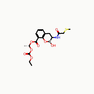 CCOC(=O)O[C@H](C)OC(=O)c1cccc2c1OB(O)C(NC(=O)CSC)C2